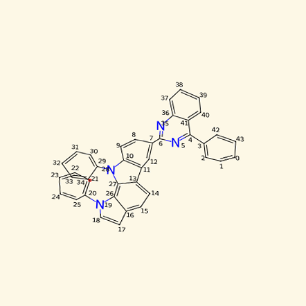 c1ccc(-c2nc(-c3ccc4c(c3)c3ccc5ccn(-c6ccccc6)c5c3n4-c3ccccc3)nc3ccccc23)cc1